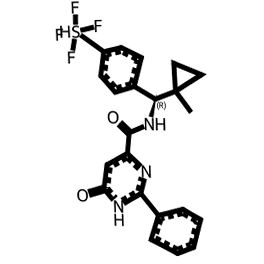 CC1([C@@H](NC(=O)c2cc(=O)[nH]c(-c3ccccc3)n2)c2ccc([SH](F)(F)(F)F)cc2)CC1